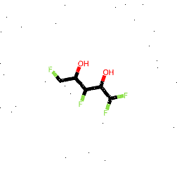 OC(CF)C(F)C(O)C(F)F